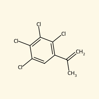 C=C(C)c1cc(Cl)c(Cl)c(Cl)c1Cl